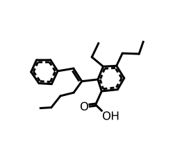 CCCCC(=Cc1ccccc1)c1c(C(=O)O)ccc(CCC)c1CC